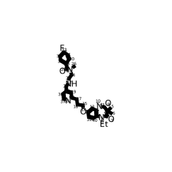 CCN1C(=O)C(C)(C)C(=O)N(C)c2cc(OCCCc3cc(CNCCN(C)C(=O)c4ccc(F)cc4)ccn3)ccc21